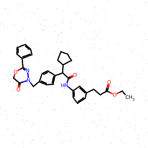 CCOC(=O)CCc1cccc(NC(=O)C(c2ccc(CN3N=C(c4ccccc4)OCC3=O)cc2)C2CCCC2)c1